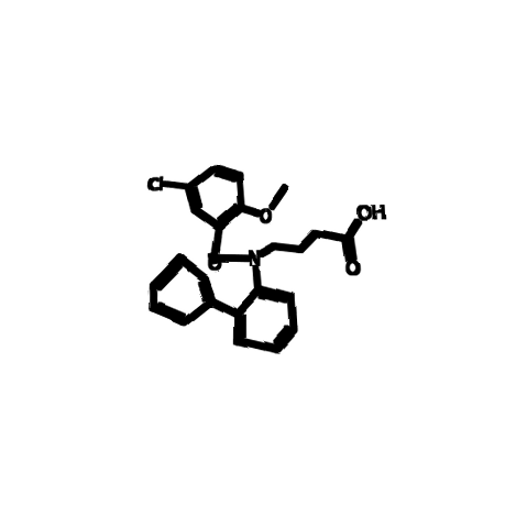 COc1ccc(Cl)cc1C(=O)N(CCCC(=O)O)c1ccccc1-c1ccccc1